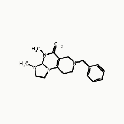 C=C1C2=C(CCN(Cc3ccccc3)C2)N2CCN(C)C2N1C